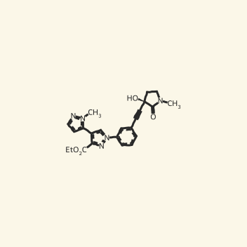 CCOC(=O)c1nn(-c2cccc(C#C[C@]3(O)CCN(C)C3=O)c2)cc1-c1ccnn1C